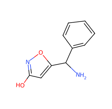 NC(c1ccccc1)c1cc(O)no1